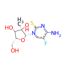 C[C@@]1(O)C(O)[C@@H](CO)O[C@H]1n1cc(F)c(N)nc1=S